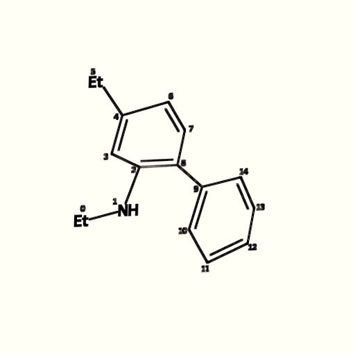 CCNc1cc(CC)ccc1-c1ccccc1